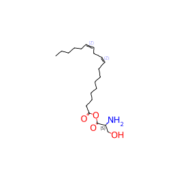 CCCCC/C=C\C/C=C\CCCCCCCC(=O)OC(=O)[C@@H](N)CO